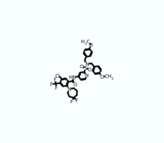 COc1ccc(CN(Cc2ccc(OC)cc2)S(=O)(=O)c2cc(NC(=O)c3cc(Cl)c(C(F)(F)F)cc3N3CCCC(F)(F)CC3)ccn2)cc1